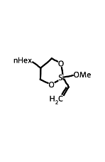 C=C[Si]1(OC)OCC(CCCCCC)CO1